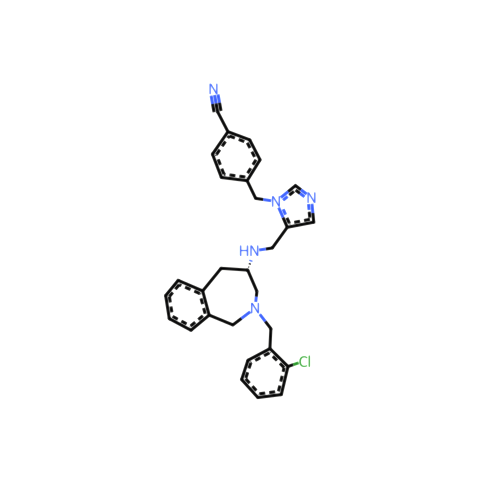 N#Cc1ccc(Cn2cncc2CN[C@H]2Cc3ccccc3CN(Cc3ccccc3Cl)C2)cc1